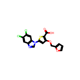 O=C(O)c1sc(-n2cnc3cc(Cl)c(Cl)cc32)cc1OCc1ccco1